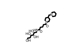 O=C(CCCC(=O)N1CCC(CN2CCCCC2)CC1)NCC(O)C(O)C(O)CCO